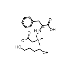 C[N+](C)(C)CC(=O)[O-].N[C@@H](Cc1ccccc1)C(=O)O.OCCCCO